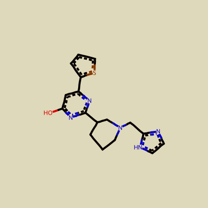 Oc1cc(-c2cccs2)nc(C2CCCN(Cc3ncc[nH]3)C2)n1